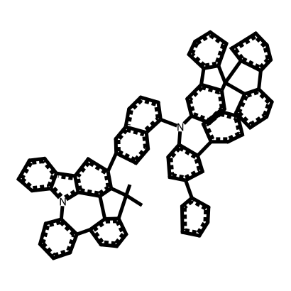 CC1(C)c2cccc3c2-c2c1c(-c1ccc4c(N(c5ccc6c(c5)-c5ccccc5C65c6ccccc6-c6ccccc65)c5ccc(-c6ccccc6)cc5-c5ccccc5)cccc4c1)cc1c4ccccc4n(c21)-c1ccccc1-3